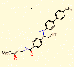 COC(=O)CCNC(=O)c1ccc(C(CC(C)C)Nc2ccc(-c3ccc(C(F)(F)F)cc3)cc2)cc1